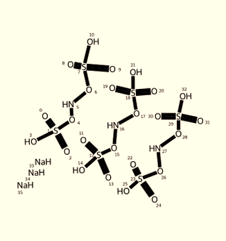 O=S(=O)(O)ONOS(=O)(=O)O.O=S(=O)(O)ONOS(=O)(=O)O.O=S(=O)(O)ONOS(=O)(=O)O.[NaH].[NaH].[NaH]